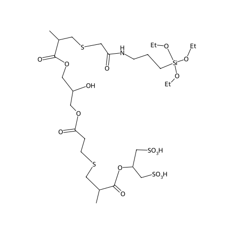 CCO[Si](CCCNC(=O)CSCC(C)C(=O)OCC(O)COC(=O)CCSCC(C)C(=O)OC(CS(=O)(=O)O)CS(=O)(=O)O)(OCC)OCC